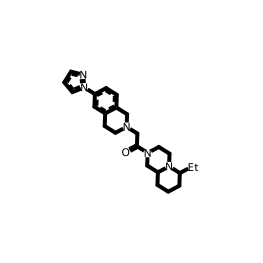 CCC1CCCC2CN(C(=O)CN3CCc4cc(-n5cccn5)ccc4C3)CCN12